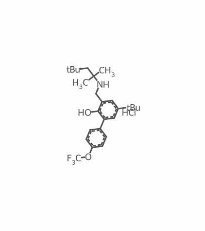 CC(C)(C)CC(C)(C)NCc1cc(C(C)(C)C)cc(-c2ccc(OC(F)(F)F)cc2)c1O.Cl